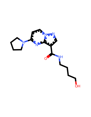 O=C(NCCCCO)c1cnn2ccc(N3CCCC3)nc12